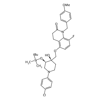 COc1ccc(CN2C(=O)CCc3c(OC[C@]4(O)CCN(c5ccc(Cl)cc5)C[C@H]4O[Si](C)(C)C(C)(C)C)ccc(F)c32)cc1